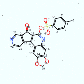 Cc1ccc(S(=O)(=O)Oc2nc3cc4c(cc3c3c2C(=O)c2cnccc2-3)OCO4)cc1